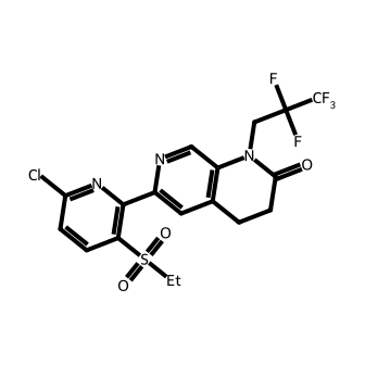 CCS(=O)(=O)c1ccc(Cl)nc1-c1cc2c(cn1)N(CC(F)(F)C(F)(F)F)C(=O)CC2